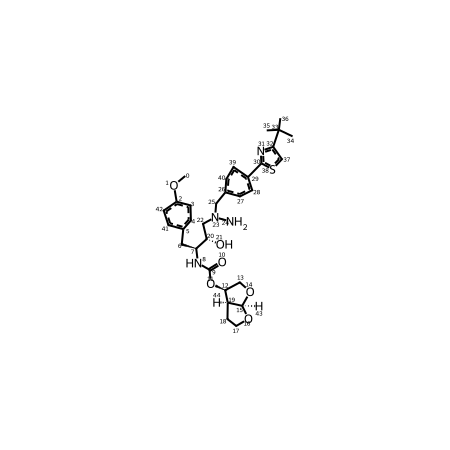 COc1ccc(C[C@H](NC(=O)O[C@H]2CO[C@H]3OCC[C@H]32)[C@@H](O)CN(N)Cc2ccc(-c3nc(C(C)(C)C)cs3)cc2)cc1